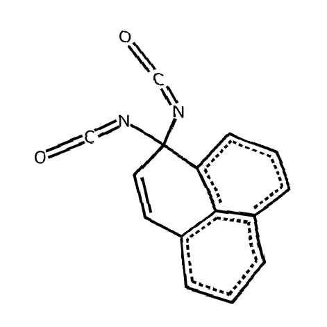 O=C=NC1(N=C=O)C=Cc2cccc3cccc1c23